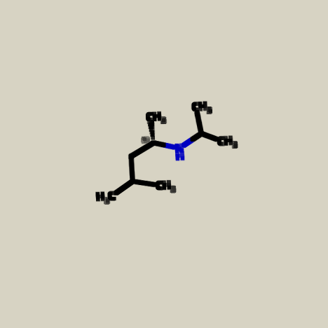 CC(C)C[C@H](C)NC(C)C